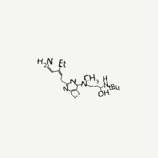 CCC(/C=C\N)=C/Cc1nc2c(c(N(C)CCC(O)NC(C)(C)C)n1)CCC2